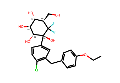 CCOc1ccc(Cc2cc([C@]3(O)[C@H](O)[C@@H](O)[C@H](O)[C@@H](CO)C3(F)F)ccc2Cl)cc1